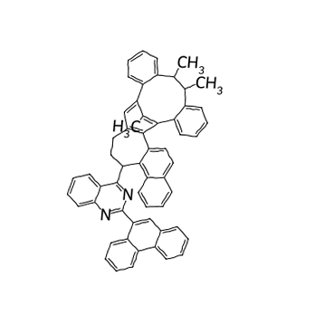 Cc1c2cc3c(c1-c1ccccc1C(C)C(C)c1ccccc1-2)-c1ccc2ccccc2c1C(c1nc(-c2cc4ccccc4c4ccccc24)nc2ccccc12)CC3